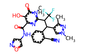 Cc1nn(C)cc1C(c1ccccc1C#N)C(c1nc(C(=O)Nc2cnoc2)c(O)c(=O)n1C)C(F)(F)F